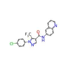 O=C(Nc1ccc2ncccc2c1)c1cnn(-c2ccc(Cl)cc2)c1C(F)(F)F